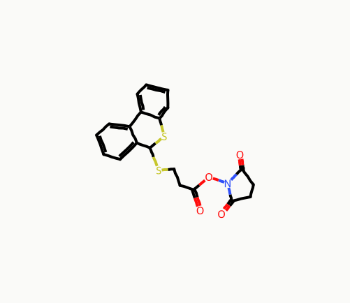 O=C(CCSC1Sc2ccccc2-c2ccccc21)ON1C(=O)CCC1=O